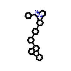 c1ccc(-c2nc3cccc4c5ccc(-c6ccc(-c7cccc(-c8ccc9c%10c(cccc8%10)-c8ccccc8-9)c7)cc6)cc5c2n34)cc1